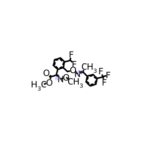 CO/N=C(/C(=O)OC)c1cccc(C(F)F)c1CO/N=C(\C)c1cccc(C(F)(F)F)c1